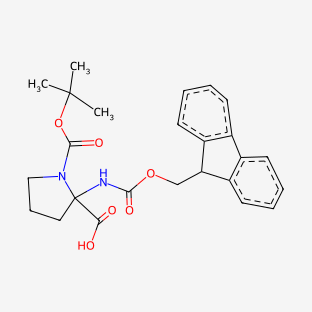 CC(C)(C)OC(=O)N1CCCC1(NC(=O)OCC1c2ccccc2-c2ccccc21)C(=O)O